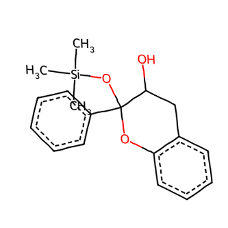 C[Si](C)(C)OC1(c2ccccc2)Oc2ccccc2CC1O